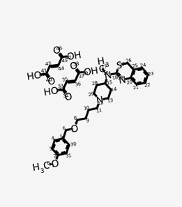 COc1ccc(COCCCCN2CCC(N(C)C3=Nc4ccccc4CS3)CC2)cc1.O=C(O)/C=C/C(=O)O.O=C(O)/C=C/C(=O)O